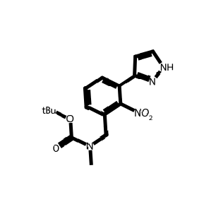 CN(Cc1cccc(-c2cc[nH]n2)c1[N+](=O)[O-])C(=O)OC(C)(C)C